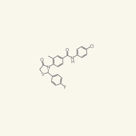 Cc1cc(C(=O)Nc2ccc(Cl)cc2)ccc1N1C(=O)CSC1c1ccc(F)cc1